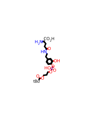 CC(C)(C)C(=O)OCCCOP(=O)(O)Oc1ccc(CCNC(=O)CC[C@H](N)C(=O)O)cc1O